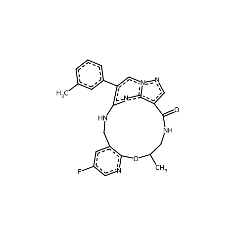 Cc1cccc(-c2cn3ncc4c3nc2NCc2cc(F)cnc2OC(C)CNC4=O)c1